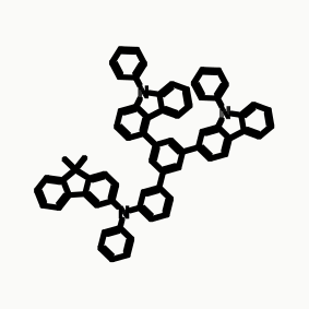 CC1(C)c2ccccc2-c2cc(N(c3ccccc3)c3cccc(-c4cc(-c5ccc6c7ccccc7n(-c7ccccc7)c6c5)cc(-c5cccc6c5c5ccccc5n6-c5ccccc5)c4)c3)ccc21